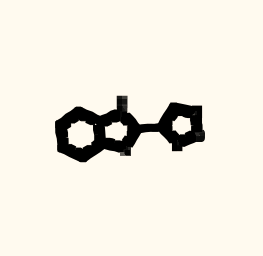 c1ccc2[nH]c(-c3cnon3)nc2c1